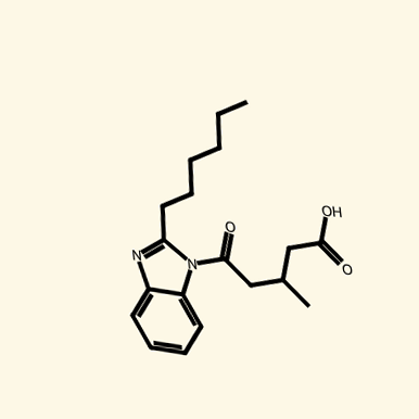 CCCCCCc1nc2ccccc2n1C(=O)CC(C)CC(=O)O